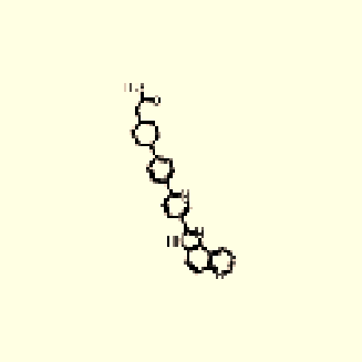 O=C(O)CC1CCC(c2ccc(-c3ccc(-c4nc5c(ccc6ncncc65)[nH]4)cn3)cc2)CC1